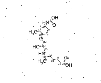 Cc1cc(NC(=O)O)ccc1OCC(O)CNC(C)CCCCC(=O)O